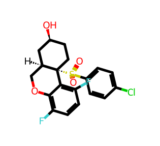 O=S(=O)(c1ccc(Cl)cc1)[C@@]12CC[C@H](O)C[C@@H]1COc1c(F)ccc(F)c12